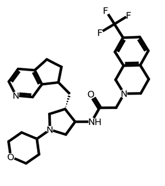 O=C(CN1CCc2ccc(C(F)(F)F)cc2C1)NC1CN(C2CCOCC2)C[C@@H]1CC1CCc2ccncc21